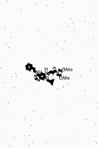 COCCN(CCOC)C(=O)C=CCNc1cc2c(NCCc3ccccc3)ncnc2cc1OCC1CC1